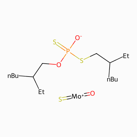 CCCCC(CC)COP([O-])(=S)SCC(CC)CCCC.[O]=[Mo+]=[S]